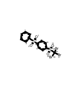 O=S(=O)(c1ccccc1)c1ccc(S(=O)(=O)C(Br)(Br)Br)cc1